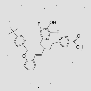 CC(C)(C)c1ccc(COc2ccccc2C=CC(CCc2ccc(C(=O)O)cc2)Cc2cc(F)c(O)c(F)c2)cc1